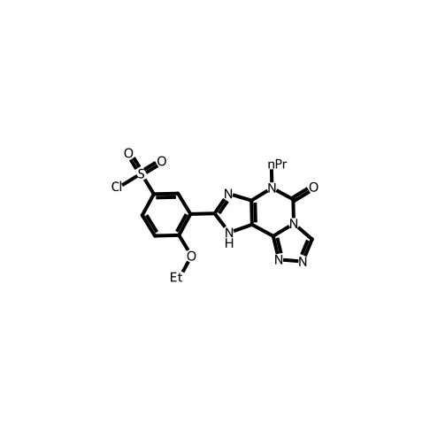 CCCn1c(=O)n2cnnc2c2[nH]c(-c3cc(S(=O)(=O)Cl)ccc3OCC)nc21